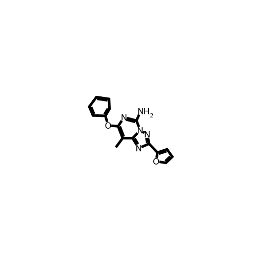 Cc1c(Oc2ccccc2)nc(N)n2nc(-c3ccco3)nc12